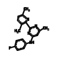 Cc1cc(Nc2ccc(F)cc2)nc(-c2nc(C)ccc2C)n1